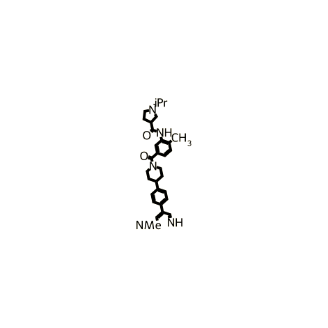 CN/C=C(\C=N)c1ccc(C2CCN(C(=O)c3ccc(C)c(NC(=O)C4CCN(C(C)C)C4)c3)CC2)cc1